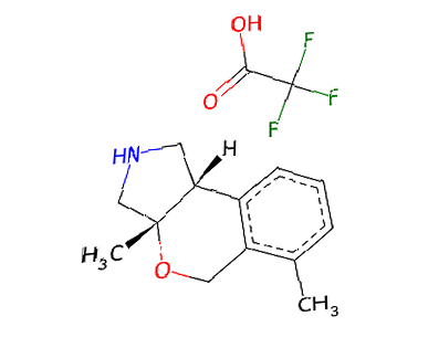 Cc1cccc2c1CO[C@]1(C)CNC[C@H]21.O=C(O)C(F)(F)F